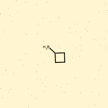 BC1CCC1